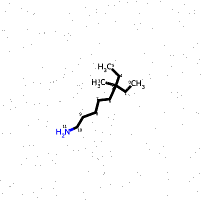 CCC(C)(CC)CCCCCN